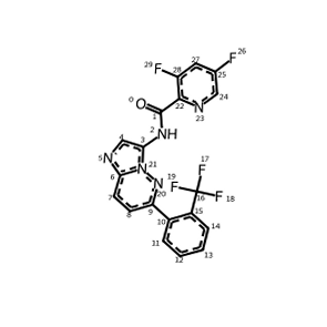 O=C(Nc1cnc2ccc(-c3ccccc3C(F)(F)F)nn12)c1ncc(F)cc1F